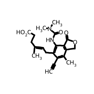 C#Cc1c(C)c2c(c(NC(=O)N(C)C)c1C/C=C(\C)CCC(=O)O)C(=O)OC2